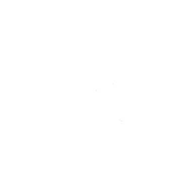 CC(C)(c1noc(-c2ccc(Cl)cc2)n1)S(N)(=O)=O